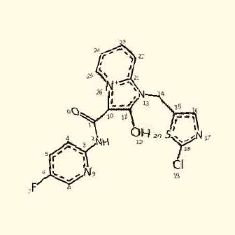 O=C(Nc1ccc(F)cn1)c1c(O)n(Cc2cnc(Cl)s2)c2cccc[n+]12